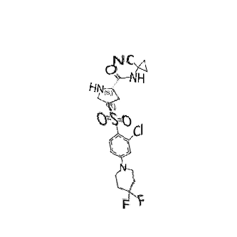 N#CC1(NC(=O)[C@@H]2C[C@@H](S(=O)(=O)c3ccc(N4CCC(F)(F)CC4)cc3Cl)CN2)CC1